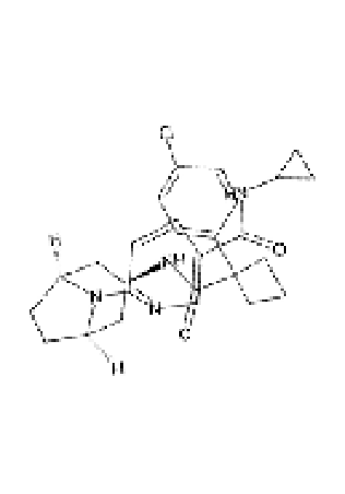 O=C(NC1CC1)c1ccc(N2[C@@H]3CC[C@H]2C[C@@H](NC(=O)C2(c4ccc(Cl)cc4)CCC2)C3)nc1